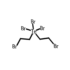 BrCC[Te](Br)(Br)(Br)CCBr